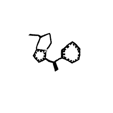 C=C(c1ccccc1)c1ccc2n1CCC2C